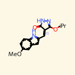 COc1ccc2[nH]c(/C=C3\C(=O)NN=C3OC(C)C)cc2c1